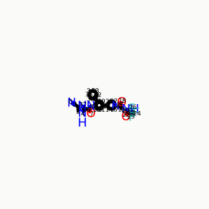 N#Cc1c[nH]c(C(=O)Nc2ccc(C3CCN(C(=O)CNC(=O)C(F)(F)F)CC3)cc2C2=CCCCC2)n1